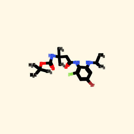 CC(C)Nc1cc(Br)cc(F)c1NC(=O)CC(C)(C)NC(=O)OC(C)(C)C